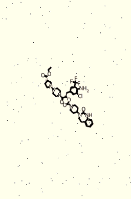 CCOC(=O)[C@H]1CCN(N2CCN(C(=O)[C@@H](Cc3cc(Cl)c(N)c(C(F)(F)F)c3)OC(=O)N3CCC(N4CCc5ccccc5NC4=O)CC3)CC2)C1